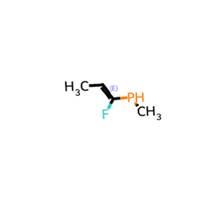 C/C=C(\F)PC